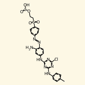 Cc1ccc(Nc2nc(Cl)nc(Nc3ccc(/N=N/c4ccc(S(=O)(=O)CCOS(=O)O)cc4)c(N)c3)n2)cc1